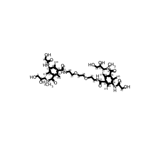 CN(CC(O)CO)C(=O)c1c(I)c(NC(=O)CO)c(I)c(C(=O)NCCOCCOCCNC(=O)c2c(I)c(NC(=O)CO)c(I)c(C(=O)N(C)CC(O)CO)c2I)c1I